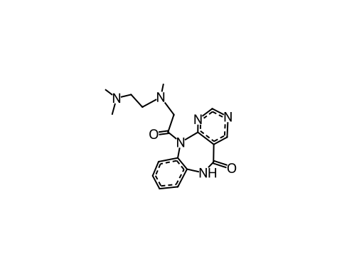 CN(C)CCN(C)CC(=O)N1c2ccccc2NC(=O)c2cncnc21